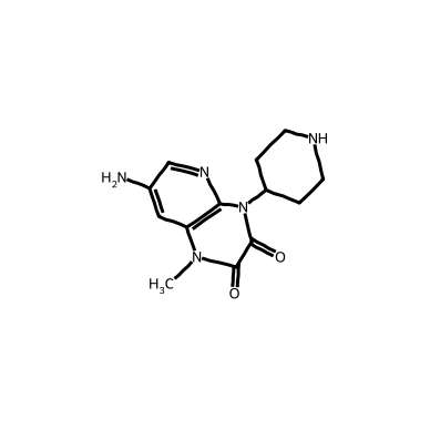 Cn1c(=O)c(=O)n(C2CCNCC2)c2ncc(N)cc21